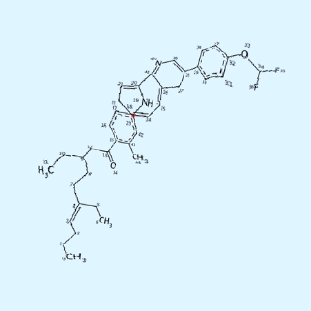 CCC/C=C(\CC)CCC(CC)CC(=O)c1ccc(N/C2=C\C/C=C\C=C3\CC(c4ccc(OC(F)F)cc4)=CN=C32)cc1C